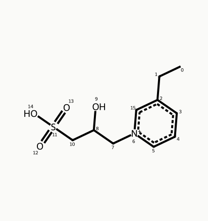 CCc1ccc[n+](CC(O)CS(=O)(=O)O)c1